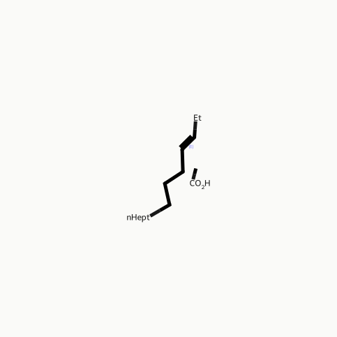 CC(=O)O.CC/C=C/CCCCCCCCCC